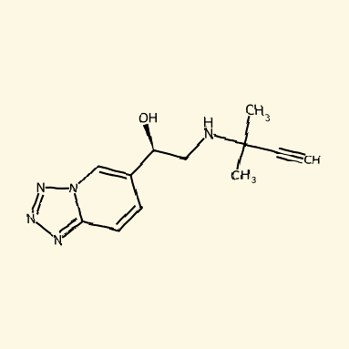 C#CC(C)(C)NC[C@H](O)c1ccc2nnnn2c1